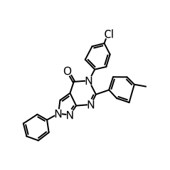 Cc1ccc(-c2nc3nn(-c4ccccc4)cc3c(=O)n2-c2ccc(Cl)cc2)cc1